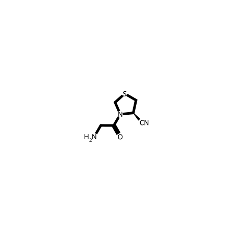 N#C[C@@H]1CSCN1C(=O)CN